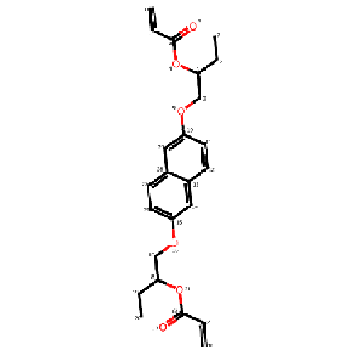 C=CC(=O)OC(CC)COc1ccc2cc(OCC(CC)OC(=O)C=C)ccc2c1